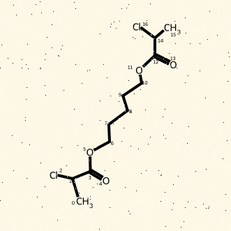 CC(Cl)C(=O)OCCCCCOC(=O)C(C)Cl